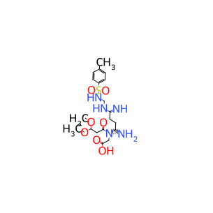 COC(CC(=O)N(CC(=O)O)[C@H](N)CCC(=N)NCNS(=O)(=O)c1ccc(C)cc1)OC